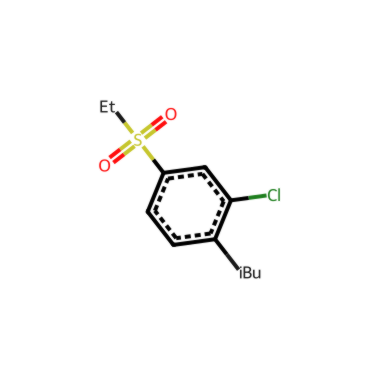 CCC(C)c1ccc(S(=O)(=O)CC)cc1Cl